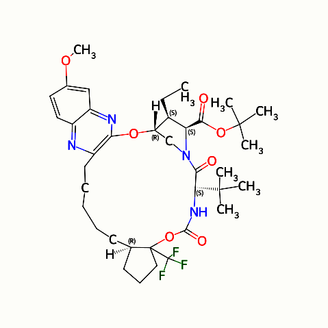 CC[C@@H]1[C@@H]2CN(C(=O)[C@H](C(C)(C)C)NC(=O)OC3(C(F)(F)F)CCC[C@H]3CCCCCc3nc4ccc(OC)cc4nc3O2)[C@@H]1C(=O)OC(C)(C)C